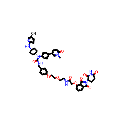 Cn1cc(-c2ccc(N(C(=O)NCc3ccc(OCCOCCNC(=O)COc4cccc5c4C(=O)N(C4CCC(=O)NC4=O)C5=O)cc3)[C@H]3CC[C@H](Nc4ccc(C#N)cn4)CC3)cc2)ccc1=O